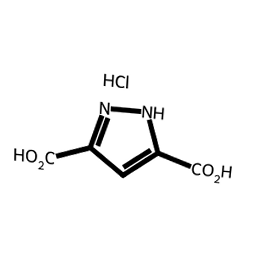 Cl.O=C(O)c1cc(C(=O)O)[nH]n1